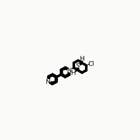 Cl[C@@H]1CC[C@H]2S[C@@H]1CC[C@H]2[n+]1ccc(-c2ccncc2)cc1